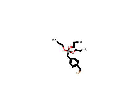 CCCO[Si](Cc1ccc(CBr)cc1)(OCCC)OCCC